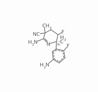 CC1(C#N)CC(F)[C@@](C)(c2cc(N)ccc2F)N=C1N